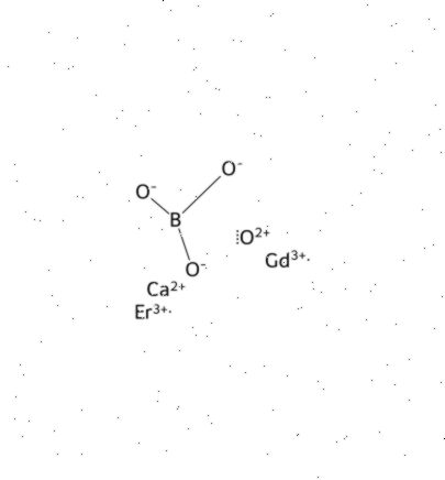 [Ca+2].[Er+3].[Gd+3].[O+2].[O-]B([O-])[O-]